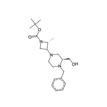 C[C@@H]1C(N2CCN(Cc3ccccc3)[C@H](CO)C2)CN1C(=O)OC(C)(C)C